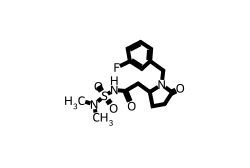 CN(C)S(=O)(=O)NC(=O)CC1CCC(=O)N1Cc1cccc(F)c1